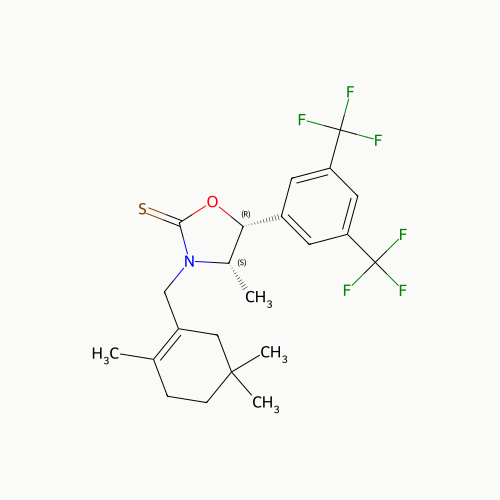 CC1=C(CN2C(=S)O[C@H](c3cc(C(F)(F)F)cc(C(F)(F)F)c3)[C@@H]2C)CC(C)(C)CC1